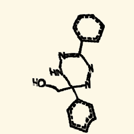 OCC1(c2ccccc2)N=NC(c2ccccc2)=NN1